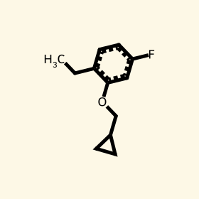 CCc1ccc(F)cc1OCC1CC1